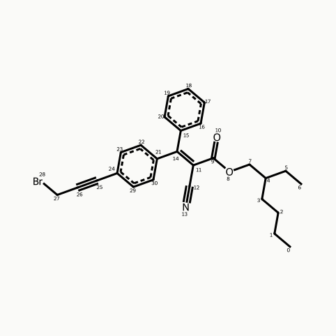 CCCCC(CC)COC(=O)/C(C#N)=C(\c1ccccc1)c1ccc(C#CCBr)cc1